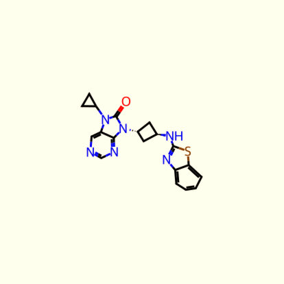 O=c1n(C2CC2)c2cncnc2n1[C@H]1C[C@H](Nc2nc3ccccc3s2)C1